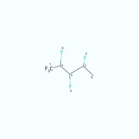 CC(F)C(F)C(F)C(F)(F)F